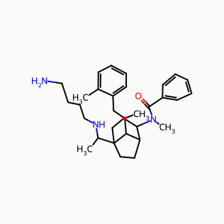 Cc1ccccc1CC(C)C1C2CCC1(C(C)NCCCCN)CCC2N(C)C(=O)c1ccccc1